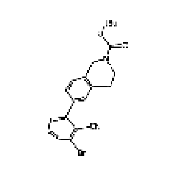 CC(C)(C)OC(=O)N1CCc2cc(-c3cccc(Br)c3C#N)ccc2C1